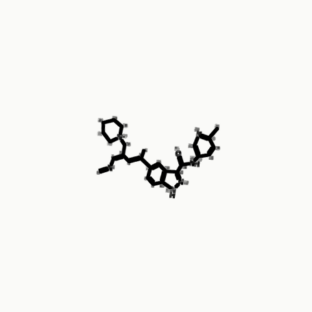 C=N/C=C(\C=C(/C)c1ccc2[nH]nc(C(=O)Nc3ccc(C)nc3)c2c1)CN1CCCCC1